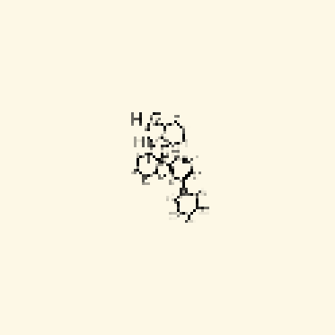 CC1CCCCC1NC1CCCCC1(C)C1=CC(C2C=CCCC2)=CCC1